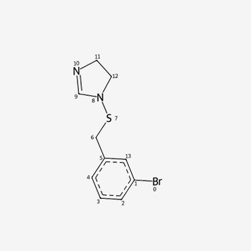 Brc1cccc(CSN2C=NCC2)c1